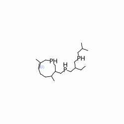 CCC(CPCC(C)C)CPCC1CPC/C(C)=C\CCC1C